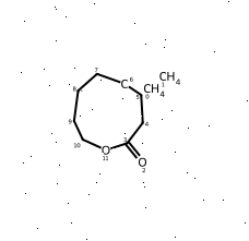 C.C.O=C1CCCC[CH]CCO1